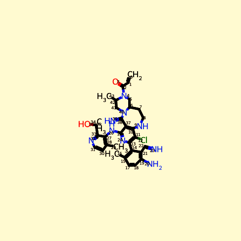 C=CC(=O)N1CC2CCNc3c(Cl)c(-c4c(C)ccc(N)c4C=N)nc(Nc4c(C)ccnc4C(C)O)c3C(=N)N2CC1C